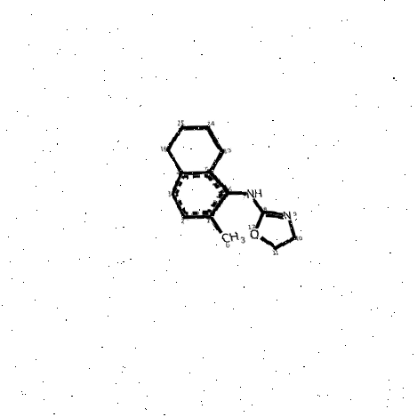 Cc1ccc2c(c1NC1=NCCO1)CCCC2